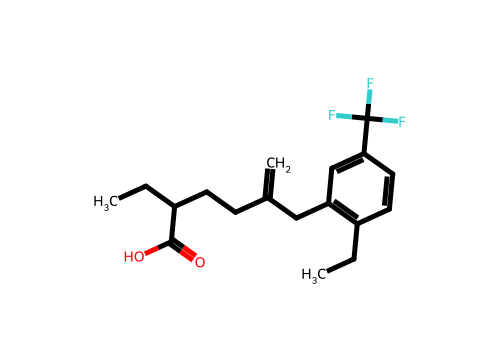 C=C(CCC(CC)C(=O)O)Cc1cc(C(F)(F)F)ccc1CC